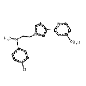 CN(CCn1cnc(-c2cc(C(=O)O)ccn2)c1)c1ccc(Cl)cc1